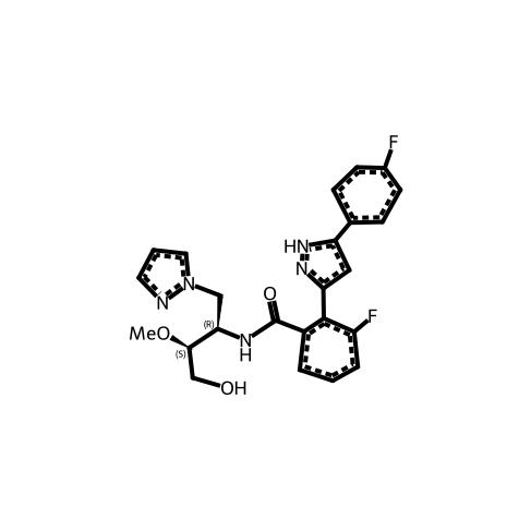 CO[C@H](CO)[C@@H](Cn1cccn1)NC(=O)c1cccc(F)c1-c1cc(-c2ccc(F)cc2)[nH]n1